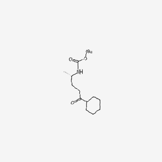 C[C@@H](CCC(=O)C1CCCCC1)NC(=O)OC(C)(C)C